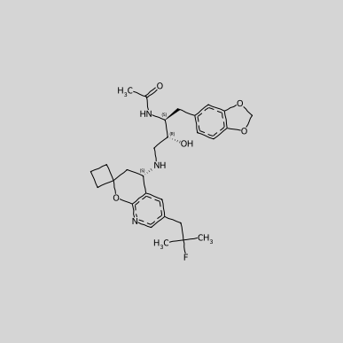 CC(=O)N[C@@H](Cc1ccc2c(c1)OCO2)[C@H](O)CN[C@H]1CC2(CCC2)Oc2ncc(CC(C)(C)F)cc21